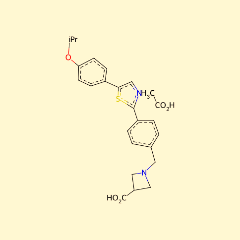 CC(=O)O.CC(C)Oc1ccc(-c2cnc(-c3ccc(CN4CC(C(=O)O)C4)cc3)s2)cc1